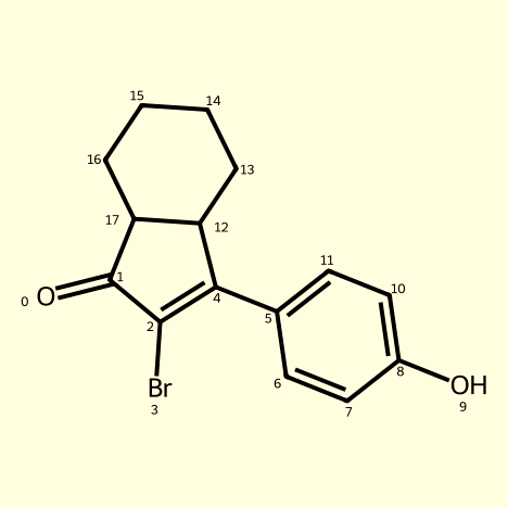 O=C1C(Br)=C(c2ccc(O)cc2)C2CCCCC12